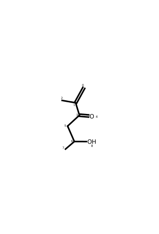 C=C(C)C(=O)[CH]C(C)O